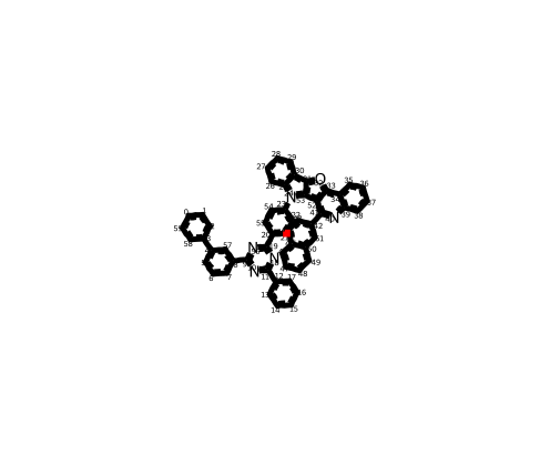 c1ccc(-c2cccc(-c3nc(-c4ccccc4)nc(-c4ccc(-n5c6ccccc6c6oc7c8ccccc8nc(-c8ccc9ccccc9c8)c7c65)cc4)n3)c2)cc1